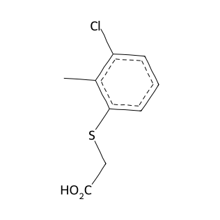 Cc1c(Cl)cccc1SCC(=O)O